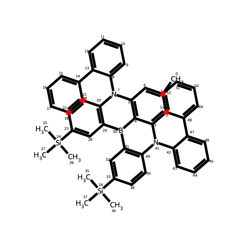 Cc1cc2c3c(c1)N(c1ccccc1-c1ccccc1)c1ccc([Si](C)(C)C)cc1B3c1cc([Si](C)(C)C)ccc1N2c1ccccc1-c1ccccc1